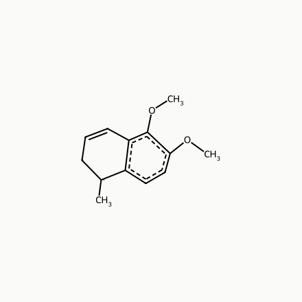 COc1ccc2c(c1OC)C=CC[C]2C